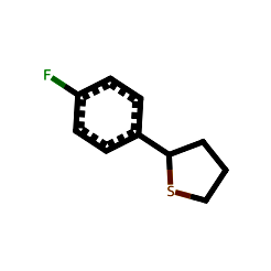 Fc1ccc(C2CCCS2)cc1